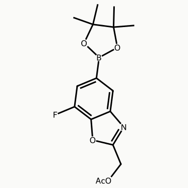 CC(=O)OCc1nc2cc(B3OC(C)(C)C(C)(C)O3)cc(F)c2o1